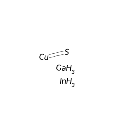 [GaH3].[InH3].[S]=[Cu]